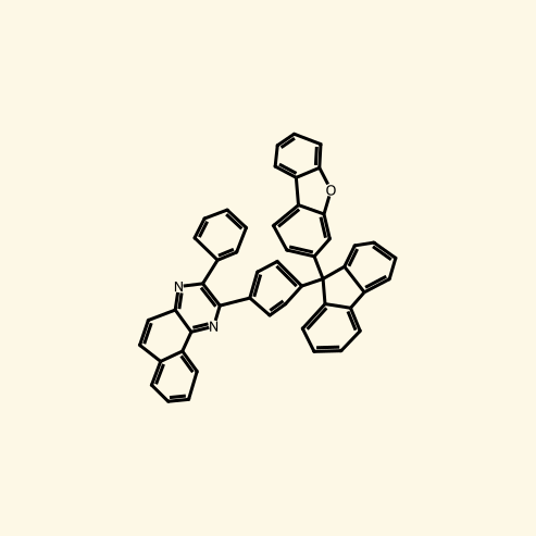 c1ccc(-c2nc3ccc4ccccc4c3nc2-c2ccc(C3(c4ccc5c(c4)oc4ccccc45)c4ccccc4-c4ccccc43)cc2)cc1